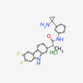 CC(C(=O)Nc1cccc(C2(N)CC2)c1)c1ccc2c(c1)[nH]c1cc(F)c(F)cc12.Cl